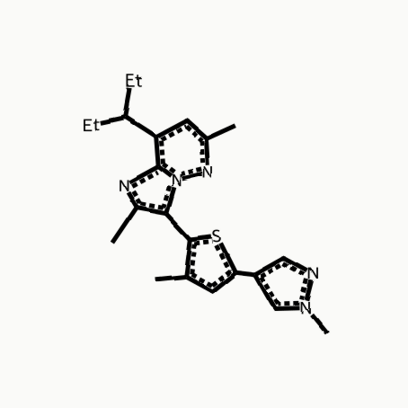 CCC(CC)c1cc(C)nn2c(-c3sc(-c4cnn(C)c4)cc3C)c(C)nc12